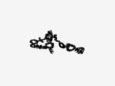 COc1cccc(C(C)(C)c2cnc(SCCOc3ccc(-n4ccnc4)cc3)n2-c2ccc(F)cc2)c1